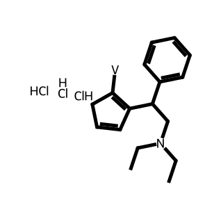 CCN(CC)CC(C1=[C]([V])CC=C1)c1ccccc1.Cl.Cl.Cl